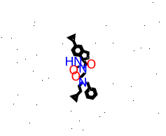 O=C(CN1C(=O)NC2(CCc3cc(C4CC4)ccc32)C1=O)N(CCC1CC1)Cc1ccccc1